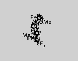 COc1cc(CN2C(=O)CCn3nc(-c4c(OC)ncnc4C(C)C)nc32)ccc1-c1nc(C(F)(F)F)cn1C(C)C